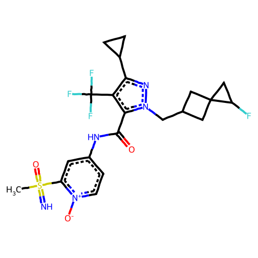 CS(=N)(=O)c1cc(NC(=O)c2c(C(F)(F)F)c(C3CC3)nn2CC2CC3(C2)CC3F)cc[n+]1[O-]